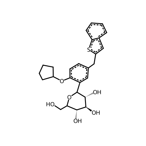 OCC1OC(c2cc(Cc3cc4ccccc4s3)ccc2OC2CCCC2)[C@H](O)[C@@H](O)[C@@H]1O